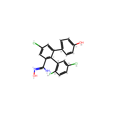 N/C(=N\O)c1cc(Cl)cc(-c2ccc(O)cc2)c1-c1cc(Cl)ccc1F